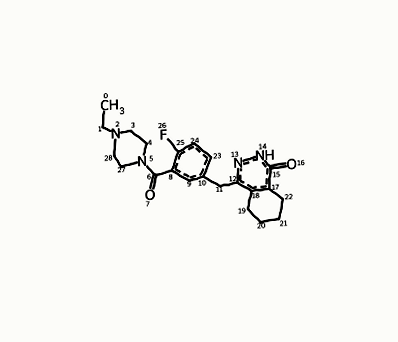 CCN1CCN(C(=O)c2cc(Cc3n[nH]c(=O)c4c3CCCC4)ccc2F)CC1